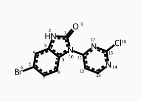 O=c1[nH]c2cc(Br)ccc2n1-c1ccnc(Cl)n1